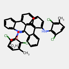 Cc1ccc(Cl)c(Nc2ccccc2-c2ccccc2C(=NOCC(=O)O)c2ccccc2-c2ccccc2Nc2c(Cl)ccc(C)c2Cl)c1Cl